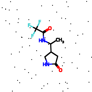 CC(NC(=O)C(F)(F)F)C1CNC(=O)C1